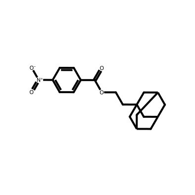 O=C(OCCC12CC3CC(CC(C3)C1)C2)c1ccc([N+](=O)[O-])cc1